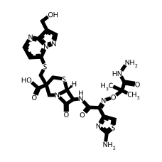 CC(C)(ON=C(C(=O)NC1C(=O)N2CC(CSc3ccnc4c(CO)cnn34)(C(=O)O)CS[C@H]12)c1csc(N)n1)C(=O)NN